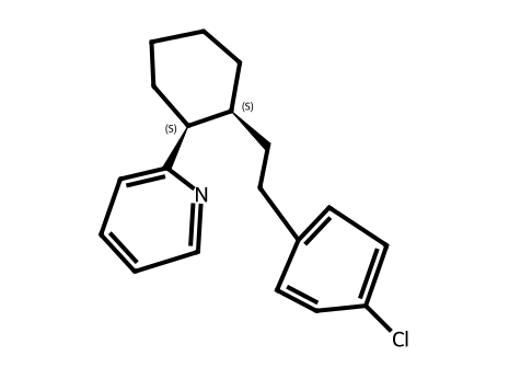 Clc1ccc(CC[C@@H]2CCCC[C@@H]2c2ccccn2)cc1